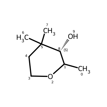 CC1OCCC(C)(C)[C@@H]1O